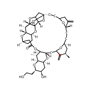 C=C1CC2CC[C@@]34CC5O[C@H]6[C@@H](O3)[C@H]3O[C@H](CC[C@@H]3O[C@H]6[C@H]5O4)CC(=O)O[C@@H]3[C@@H](C)[C@@H]4O[C@H](CCO)[C@H](O)C[C@@H]4O[C@H]3C[C@H]3O[C@@H](CC[C@@H]1O2)C[C@@H](C)C3=C